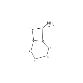 NC1CC2CCCCC12